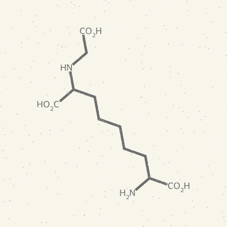 NC(CCCCCC(NCC(=O)O)C(=O)O)C(=O)O